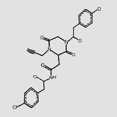 C#CCN1C(=O)CN(C(Cl)Cc2ccc(Cl)cc2)C(=O)C1CC(=O)NC(Cl)Cc1ccc(Cl)cc1